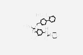 CCCCc1nc2c(C)cc(NC(=O)N3CCOCC3)cc2n1Cc1ccc(-c2ccccc2C(=O)O)cc1